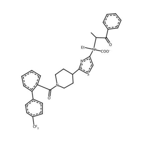 CC[N+](C(=O)[O-])(c1csc(C2CCN(C(=O)c3ccccc3-c3ccc(C(F)(F)F)cc3)CC2)n1)C(C)C(=O)c1ccccc1